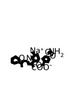 Cc1c(-c2cc(C(=O)[O-])c3c(O[C@@H](C)c4ccc(S(N)(=O)=O)cc4)ccc(C)c3n2)oc2ccccc12.[Na+]